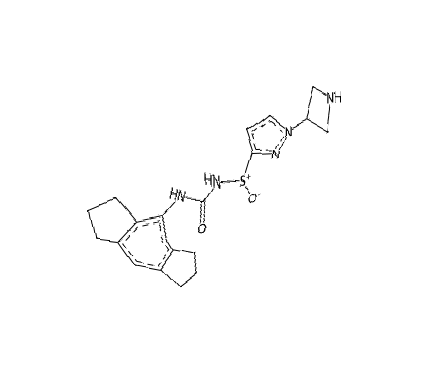 O=C(Nc1c2c(cc3c1CCC3)CCC2)N[S+]([O-])c1ccn(C2CNC2)n1